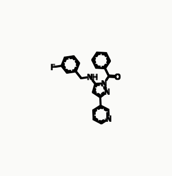 O=C(c1ccccc1)n1nc(-c2cccnc2)cc1NCc1cccc(F)c1